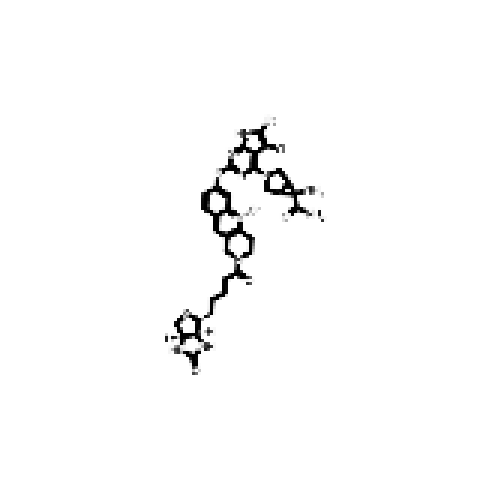 CCc1[nH]c2nc(Sc3ccc4cc5c([n+]([O-])c4c3)CCN(C(=O)CCCC[C@@H]3SC[C@@H]4NC(=O)N[C@@H]43)C5)nc(N3CC4C(C3)C4(N)C(N)=O)c2c1Cl